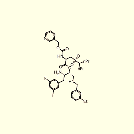 CCCC(CCC)S(=O)(=O)CC(NC(=O)OCc1cccnc1)C(=O)O[C@H](CNCc1cccc(CC)c1)[C@@H](N)Cc1cc(F)cc(F)c1